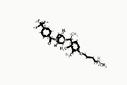 CNCCCCOc1ccc([C@H](C)N2C[C@@H]3C[C@H]2CN3C(=O)c2ccc(C(F)(F)F)cc2)c(C)c1C